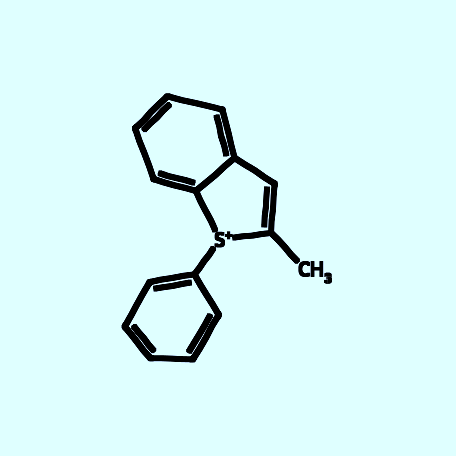 Cc1cc2ccccc2[s+]1-c1ccccc1